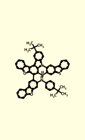 CC(C)(C)c1ccc(Nc2cc3oc4ccccc4c3cc2-c2c3c4c(c5cc(C(C)(C)C)ccc5n4-c4cc5c(cc4B3)sc3ccccc35)c3c2oc2ccccc23)cc1